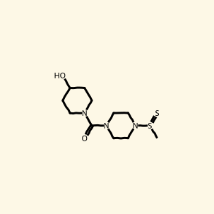 CS(=S)N1CCN(C(=O)N2CCC(O)CC2)CC1